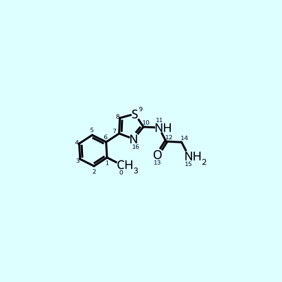 Cc1ccccc1-c1csc(NC(=O)CN)n1